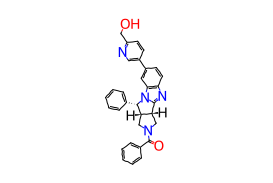 O=C(c1ccccc1)N1C[C@H]2[C@@H](C1)c1nc3ccc(-c4ccc(CO)nc4)cc3n1[C@H]2c1ccccc1